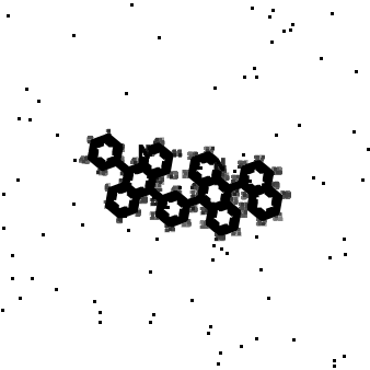 c1ccc(-c2c3ccccc3c(-c3cccc(-c4c5ccccc5c(-c5cccc6ccccc56)c5ncccc45)c3)c3cccnc23)cc1